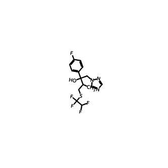 CC(CSC(F)(F)C(F)F)C(O)(Cn1cncn1)c1ccc(F)cc1